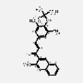 COc1nc2ccccc2cc1C(=O)/C=C/c1cc(C)c(OC(C)(C)C(=O)O)c(C)c1